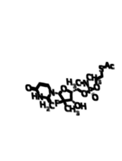 C=C1NC(=O)C=CN1[C@@H]1O[C@H](COP(=O)(OCCSC(C)=O)N(C)C)[C@H](O)C1(C)F